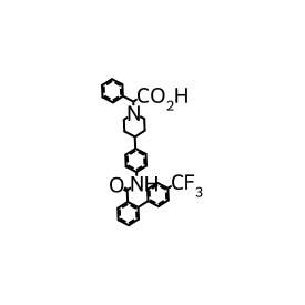 O=C(Nc1ccc(C2CCN(C(C(=O)O)c3ccccc3)CC2)cc1)c1ccccc1-c1ccc(C(F)(F)F)cc1